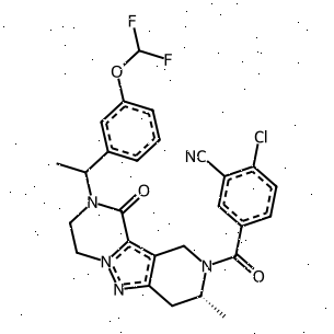 CC(c1cccc(OC(F)F)c1)N1CCn2nc3c(c2C1=O)CN(C(=O)c1ccc(Cl)c(C#N)c1)[C@H](C)C3